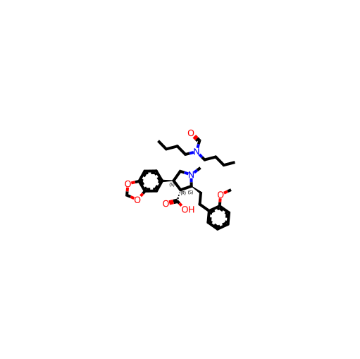 CCCCN(C=O)CCCC.COc1ccccc1CC[C@H]1[C@H](C(=O)O)[C@@H](c2ccc3c(c2)OCO3)CN1C